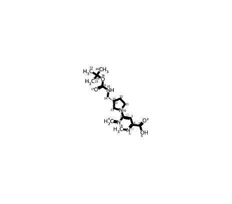 C=N/C(=C\C(=N/C)C(=O)O)N1CC[C@@H](CNC(=O)OC(C)(C)C)C1